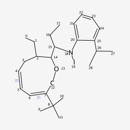 CCC1C/C=C\C=C(\C(C)(C)C)COC1C(CC)N(I)c1ccccc1C(C)C